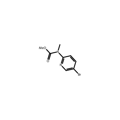 COC(=O)N(C)c1ccc(Br)cn1